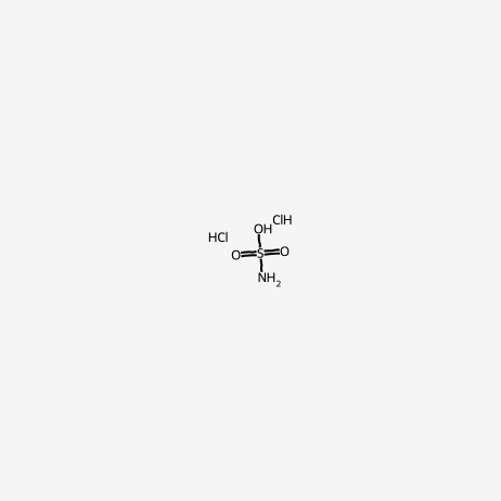 Cl.Cl.NS(=O)(=O)O